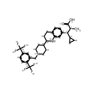 C[C@H](C(=O)O)[C@H](c1ccc2c(c1)NC(C1CCN(Cc3cc(C(F)(F)F)ccc3C(F)(F)F)CC1)CC2)C1CC1